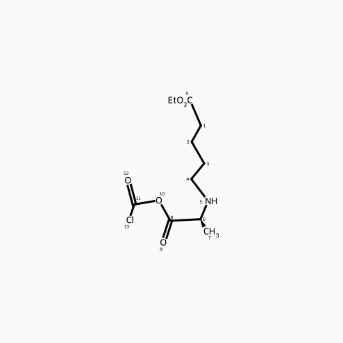 CCOC(=O)CCCCN[C@@H](C)C(=O)OC(=O)Cl